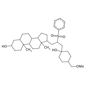 COCC1CCC(O)(CC(CC2CCC3C4CCC5CC(O)CCC5(C)C4CCC23C)S(=O)(=O)c2ccccc2)CC1